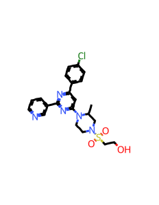 CC1CN(S(=O)(=O)CCO)CCN1c1cc(-c2ccc(Cl)cc2)nc(-c2cccnc2)n1